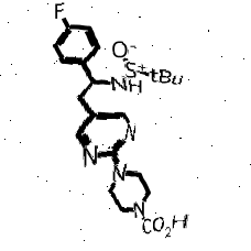 CC(C)(C)[S@+]([O-])N[C@@H](Cc1cnc(N2CCN(C(=O)O)CC2)nc1)c1ccc(F)cc1